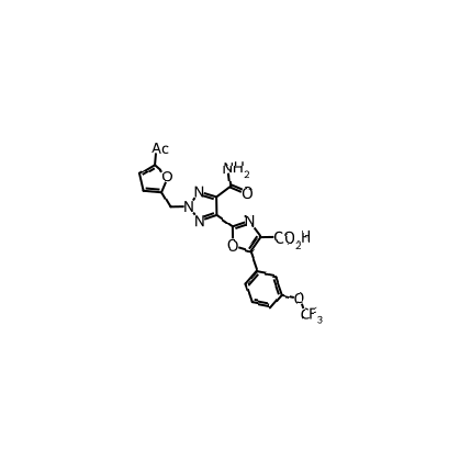 CC(=O)c1ccc(Cn2nc(C(N)=O)c(-c3nc(C(=O)O)c(-c4cccc(OC(F)(F)F)c4)o3)n2)o1